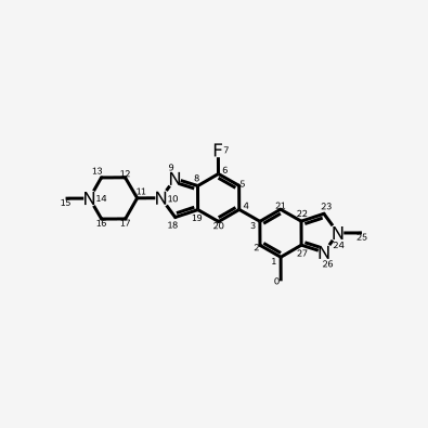 Cc1cc(-c2cc(F)c3nn(C4CCN(C)CC4)cc3c2)cc2cn(C)nc12